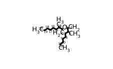 C=C(OC(=C)C(C)CCCCCC)C(C)CCCCCC